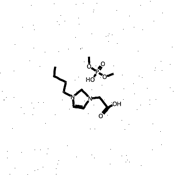 CCCCN1C=CN(CC(=O)O)C1.COP(=O)(O)OC